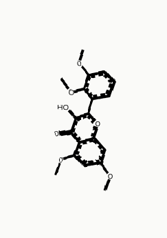 COc1cc(OC)c2c(=O)c(O)c(-c3cccc(OC)c3OC)oc2c1